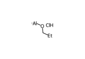 CCC[O][Al].Cl